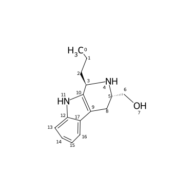 CCC[C@H]1N[C@H](CO)Cc2c1[nH]c1ccccc21